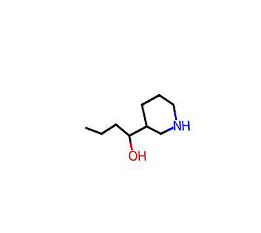 CCCC(O)C1CCCNC1